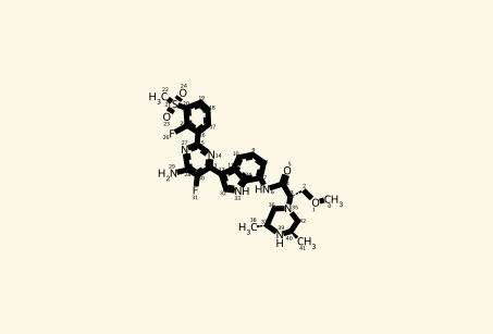 COC[C@@H](C(=O)Nc1cccc2c(-c3nc(-c4cccc(S(C)(=O)=O)c4F)nc(N)c3F)c[nH]c12)N1C[C@@H](C)N[C@H](C)C1